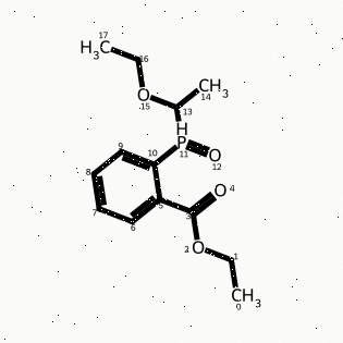 CCOC(=O)c1ccccc1[PH](=O)C(C)OCC